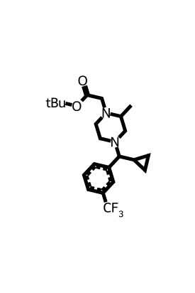 CC1CN(C(c2cccc(C(F)(F)F)c2)C2CC2)CCN1CC(=O)OC(C)(C)C